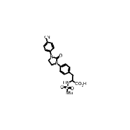 CCCCS(=O)(=O)NC(Cc1ccc(N2CCN(c3ccc(C#N)cc3)C2=O)cc1)C(=O)O